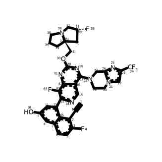 C#Cc1c(F)ccc2cc(O)cc(-c3ncc4c(N5CCn6cc(C(F)(F)F)nc6C5)nc(OC[C@@]56CCCN5C[C@H](F)C6)nc4c3F)c12